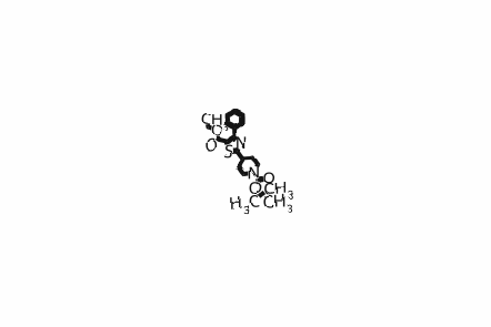 CCOC(=O)c1sc(C2CCN(C(=O)OC(C)(C)C)CC2)nc1-c1ccccc1